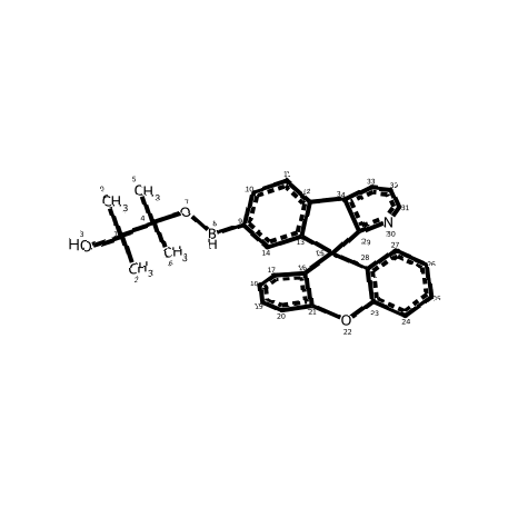 CC(C)(O)C(C)(C)OBc1ccc2c(c1)C1(c3ccccc3Oc3ccccc31)c1ncccc1-2